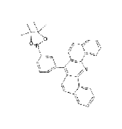 CC1(C)OB(c2cccc(-c3c4ccc5ccccc5c4nc4c3ccc3ccccc34)c2)OC1(C)C